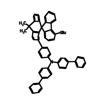 CC(C)(C)c1cccc2c1-c1ccccc1C21c2ccccc2C(C)(C)c2ccc(-c3ccc(N(c4ccc(-c5ccccc5)cc4)c4ccc(-c5ccccc5)cc4)cc3)cc21